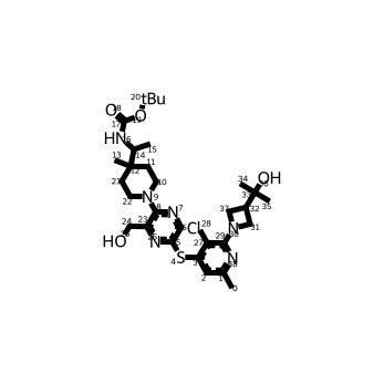 Cc1cc(Sc2cnc(N3CCC(C)(C(C)NC(=O)OC(C)(C)C)CC3)c(CO)n2)c(Cl)c(N2CC(C(C)(C)O)C2)n1